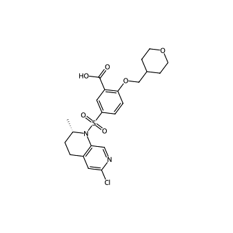 C[C@H]1CCc2cc(Cl)ncc2N1S(=O)(=O)c1ccc(OCC2CCOCC2)c(C(=O)O)c1